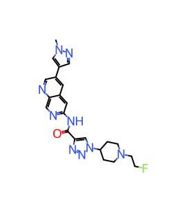 Cn1cc(-c2cnc3cnc(NC(=O)c4cn(C5CCN(CCF)CC5)nn4)cc3c2)cn1